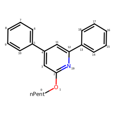 [CH2]CCCCOc1cc(-c2ccccc2)cc(-c2ccccc2)n1